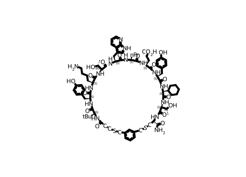 CCC[C@@H]1NC(=O)[C@H](Cc2c[nH]c3ncccc23)NC(=O)[C@H]([C@@H](C)O)NC(=O)[C@H](CCCCN)NC(=O)[C@H](Cc2ccc(O)cc2)NC(=O)[C@H](C(C)(C)C)NC(=O)CCSCc2cccc(c2)CSC[C@@H](C(N)=O)NC(=O)[C@H]([C@@H](C)O)NC(=O)[C@H](C2CCCCC2)NC(=O)[C@H](Cc2ccc(O)cc2)NC(=O)[C@H](CCC(=O)O)NC1=O